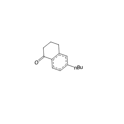 CCCCc1ccc2c(c1)CCCC2=O